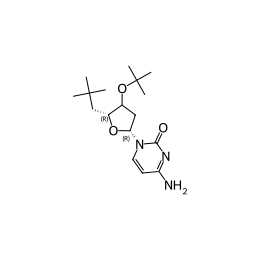 CC(C)(C)C[C@H]1O[C@@H](n2ccc(N)nc2=O)CC1OC(C)(C)C